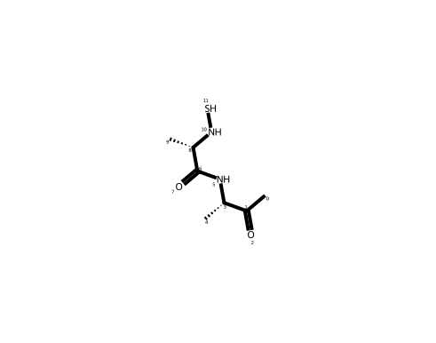 CC(=O)[C@H](C)NC(=O)[C@H](C)NS